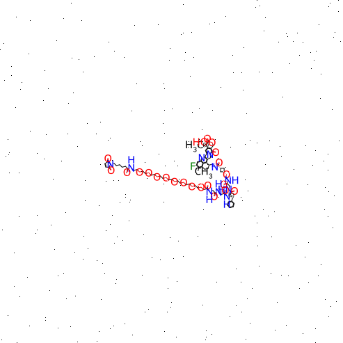 CC[C@@]1(O)C(=O)OCc2c1cc1n(c2=O)Cc2c-1nc1cc(F)c(C)c3c1c2C(/C=N/C(=O)[C@H]1C[C@@H](OCNC(=O)CNC(=O)[C@H](Cc2ccccc2)NC(=O)CNC(=O)CNC(=O)COCCOCCOCCOCCOCCOCCOCCOCCNC(=O)CCCCCN2C(=O)C=CC2=O)C1)CC3